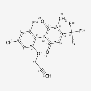 C#CCOc1cc(Cl)cc(F)c1-n1c(=O)cc(C(F)(F)F)n(C)c1=O